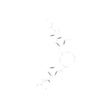 Cc1cc(CN2CCCNCCN(Cc3cc(C)cc(C(=O)NC(O)CO)c3O)CC2)c(O)c(C(=O)NC(O)CO)c1